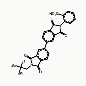 CCCC(CC)(CN1C(=O)c2ccc(-c3ccc4c(c3)C(=O)N(c3ccccc3S(=O)(=O)O)C4=O)cc2C1=O)C(C)(C)C